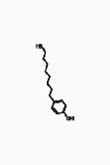 Oc1ccc(CCCCCCCCS)cc1